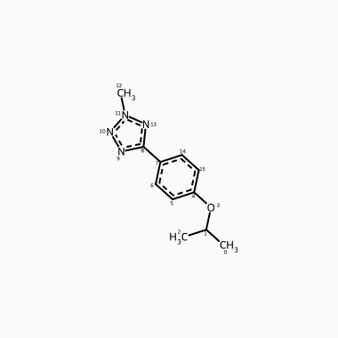 CC(C)Oc1ccc(-c2nnn(C)n2)cc1